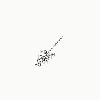 CCCCCCCCCCCCCC[C@@H](O)C(O)[C@H](CO[C@H]1OC(C)CO[C@H](CO)C1O)NC(C)=O